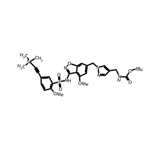 COc1ccc(C#C[Si](C)(C)C)cc1S(=O)(=O)Nc1noc2cc(Cn3cc(CNC(=O)OC(C)(C)C)cn3)cc(OC)c12